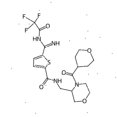 N=C(NC(=O)C(F)(F)F)c1ccc(C(=O)NCC2COCCN2C(=O)C2CCOCC2)s1